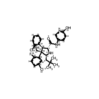 CC(C)(C)C[C@@H]1N[C@@H](C(=O)Nc2ccc(O)nc2)[C@H](c2ccccc2Cl)[C@@]1(CN)c1cc(Cl)ccc1F